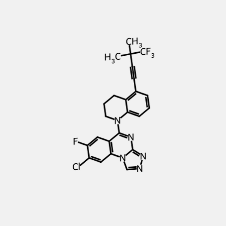 CC(C)(C#Cc1cccc2c1CCCN2c1nc2nncn2c2cc(Cl)c(F)cc12)C(F)(F)F